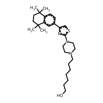 CC1(C)CCC(C)(C)c2cc(-c3csc(N4CCN(CCCCCCCO)CC4)n3)ccc21